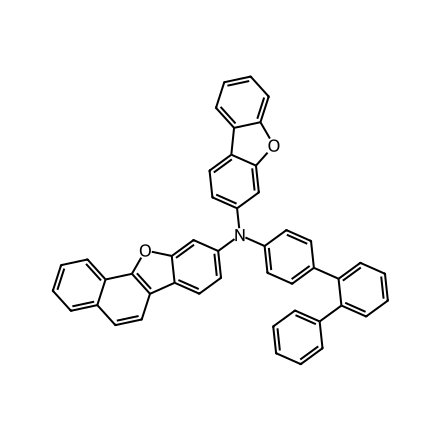 c1ccc(-c2ccccc2-c2ccc(N(c3ccc4c(c3)oc3ccccc34)c3ccc4c(c3)oc3c5ccccc5ccc43)cc2)cc1